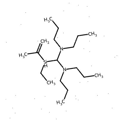 C=C(C)[SiH](CC)C(N(CCC)CCC)N(CCC)CCC